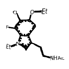 CCOc1cc2c(CCNC(C)=O)cn(CC)c2c(F)c1Cl